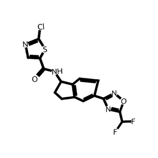 O=C(NC1CCc2cc(-c3noc(C(F)F)n3)ccc21)c1cnc(Cl)s1